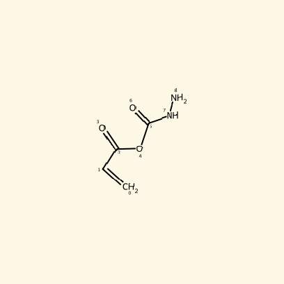 C=CC(=O)OC(=O)NN